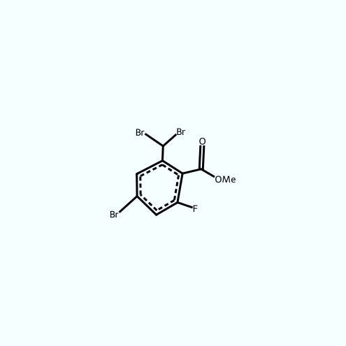 COC(=O)c1c(F)cc(Br)cc1C(Br)Br